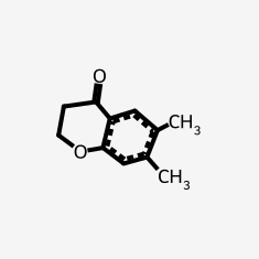 Cc1cc2c(cc1C)C(=O)CCO2